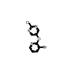 Clc1ncc(Oc2ncccc2Br)cn1